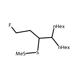 CCCCCCC(CCCCCC)C(CCF)SSC